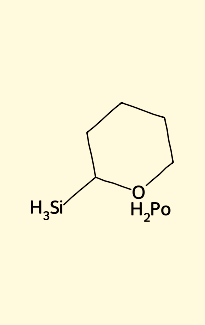 [PoH2].[SiH3]C1CCCCO1